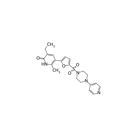 CCc1cc(-c2ccc(S(=O)(=O)N3CCN(c4ccncc4)CC3)o2)c(C)[nH]c1=O